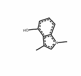 Cc1cn(C)c2cccc(O)c12